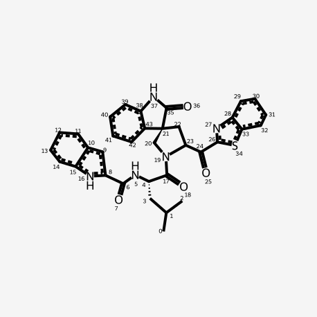 CC(C)C[C@H](NC(=O)c1cc2ccccc2[nH]1)C(=O)N1C[C@]2(CC1C(=O)c1nc3ccccc3s1)C(=O)Nc1ccccc12